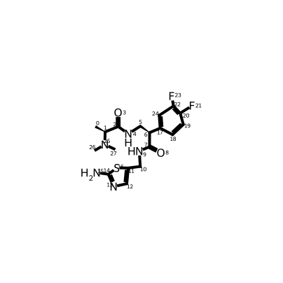 C[C@@H](C(=O)NC[C@H](C(=O)NCc1cnc(N)s1)c1ccc(F)c(F)c1)N(C)C